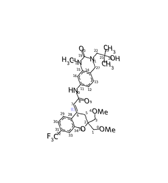 COCC1(COC)C/C(=C\C(=O)Nc2ccc3c(c2)N(C)C(=O)N(CC(C)(C)O)C3)c2ccc(C(F)(F)F)cc2O1